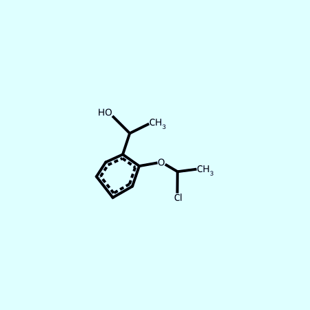 CC(Cl)Oc1ccccc1C(C)O